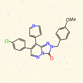 COc1ccc(Cn2nc3c(-c4ccncc4)c(-c4ccc(Cl)cc4)cnn3c2=O)cc1